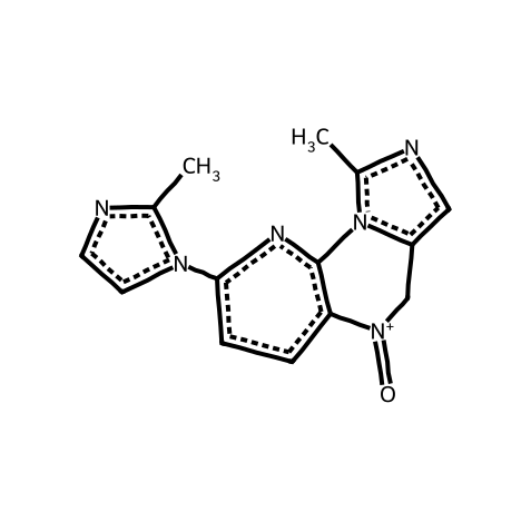 Cc1nccn1-c1ccc2c(n1)-n1c(cnc1C)C[N+]2=O